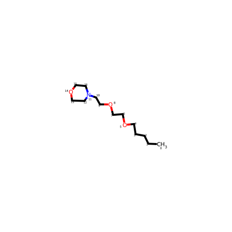 CCCCCOCCOCCN1CCOCC1